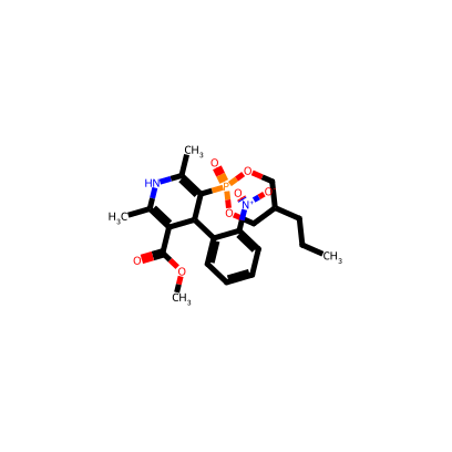 CCCC1COP(=O)(C2=C(C)NC(C)=C(C(=O)OC)C2c2ccccc2[N+](=O)[O-])OC1